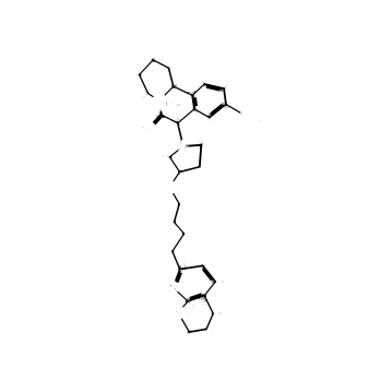 C=C(OC)C(c1cc(C)ccc1C1CCCCO1)N1CCC(OCCCCc2ccc3c(n2)NCCC3)C1